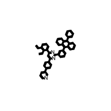 C=Cc1cccc(-c2cc(-c3ccc(-c4cccnc4)cc3)nc(-c3cccc(-c4c5ccccc5c(-c5ccccc5)c5ccccc45)c3)n2)c1C=C